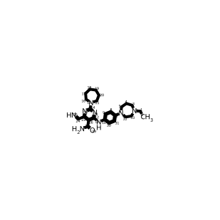 CCN1CCCN(c2ccc(Nc3nc(N4CCCCCC4)nc(C=N)c3C(N)=O)cc2)CC1